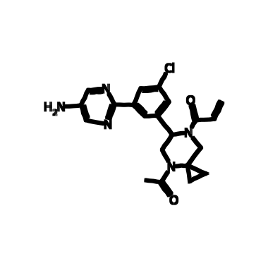 C=CC(=O)N1CC2(CC2)N(C(C)=O)CC1c1cc(Cl)cc(-c2ncc(N)cn2)c1